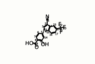 N#Cc1cn(-c2ccc(C(=O)O)c(O)c2)c2ccc(C(F)(F)F)cc12